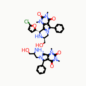 Cn1c(=O)c2c(-c3ccccc3)n(CC(N)CO)cc2n(C)c1=O.Cn1c(=O)c2c(-c3ccccc3)n3c(c2n(C)c1=O)[C@@H](c1ccc(Cl)o1)N[C@H](CO)C3